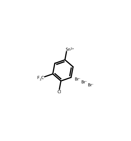 FC(F)(F)c1c[c]([Sn+3])ccc1Cl.[Br-].[Br-].[Br-]